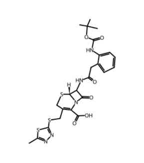 Cc1nnc(SCC2=C(C(=O)O)N3C(=O)C(NC(=O)Cc4ccccc4NC(=O)OC(C)(C)C)[C@H]3SC2)s1